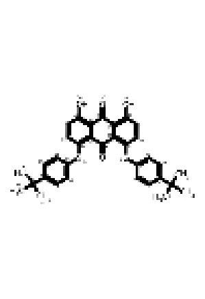 CC(C)(C)c1ccc(Sc2ccc(O)c3c2C(=O)c2c(Sc4ccc(C(C)(C)C)cc4)ccc(O)c2C3=O)cc1